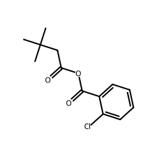 CC(C)(C)CC(=O)OC(=O)c1ccccc1Cl